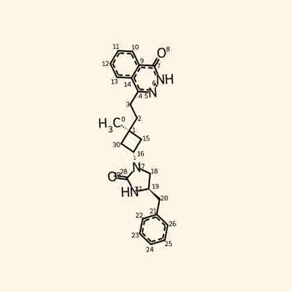 C[C@]1(CCc2n[nH]c(=O)c3ccccc23)C[C@H](N2C[C@@H](Cc3ccccc3)NC2=O)C1